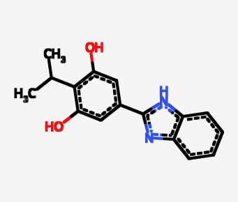 CC(C)c1c(O)cc(-c2nc3ccccc3[nH]2)cc1O